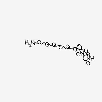 NCCOCCOCCOCCOCCOCCOc1cccc2c1C(=O)N(C1CCC(=O)NC1=O)C2=O